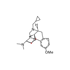 COc1ccc2c(c1)C13CCN(CC4CC4)[C@H](C2)[C@]12CCC(N(C)C)(CO2)C3